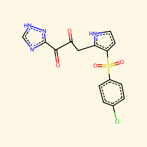 O=C(Cc1[nH]ccc1S(=O)(=O)c1ccc(Cl)cc1)C(=O)c1nc[nH]n1